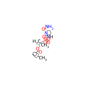 CC1CC2=CCC(C(=O)OCCC(C)(C)COS(=O)(=O)ON3C(=O)N4C[C@H]3CC[C@H]4C(N)=O)(C2)C1